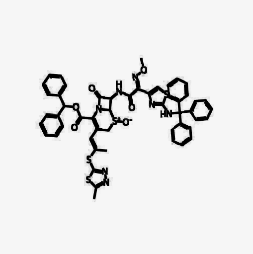 CON=C(C(=O)NC1C(=O)N2C(C(=O)OC(c3ccccc3)c3ccccc3)=C(C=C(C)Sc3nnc(C)s3)C[S+]([O-])C12)c1csc(NC(c2ccccc2)(c2ccccc2)c2ccccc2)n1